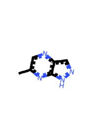 Cc1cnc2cn[nH]c2n1